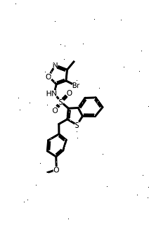 COc1ccc(Cc2sc3ccccc3c2S(=O)(=O)Nc2onc(C)c2Br)cc1